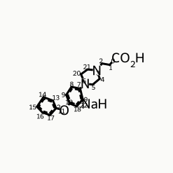 O=C(O)CCN1CCN(c2ccc(Oc3ccccc3)cc2)CC1.[NaH]